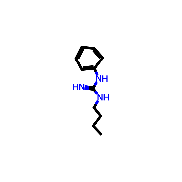 CCCCNC(=N)Nc1ccccc1